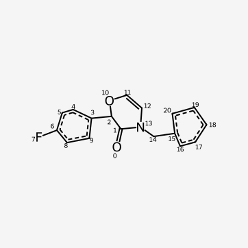 O=C1C(c2ccc(F)cc2)OC=CN1Cc1ccccc1